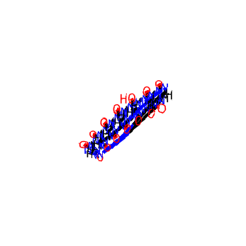 O=C1N2CN3C(=O)N4CN5C(=O)N6CN7C(=O)N8CN9C(=O)N%10CN%11C(=O)N%12CN%13C(=O)N%14CN1[C@H]1[C@@H]2N2CN%15C(=O)N(CN%16C(=O)N(CN%17C(=O)N(CN%18C(O)N(CN%19C(=O)N(CN%20C(=O)N(CN1C2=O)[C@H]%14[C@H]%13%20)[C@H]%12[C@H]%11%19)[C@H]%10[C@H]9%18)[C@H]8[C@H]7%17)[C@H]6[C@H]5%16)[C@H]4[C@H]3%15